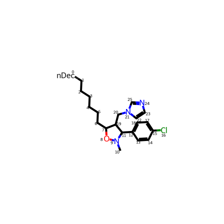 CCCCCCCCCCCCCCCCC1ON(C)C(c2ccc(Cl)cc2)C1Cn1ccnc1